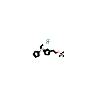 C[CH]=[Zr+2]([C]1=CC=CC1)[C]1=CC(CCO[Si](C)(C)C)=CC1.[Cl-].[Cl-]